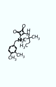 CCC(C)(C)Nc1c(NCc2ccc(C)c(C)c2)c(=O)c1=O